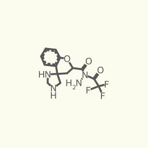 NN(C(=O)C1CC2(CNCN2)c2ccccc2O1)C(=O)C(F)(F)F